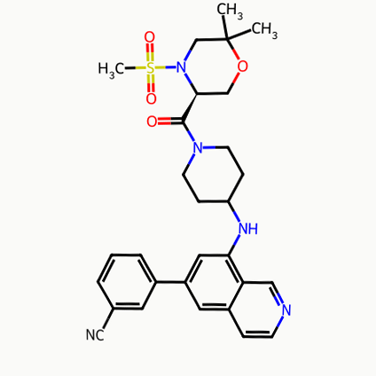 CC1(C)CN(S(C)(=O)=O)[C@H](C(=O)N2CCC(Nc3cc(-c4cccc(C#N)c4)cc4ccncc34)CC2)CO1